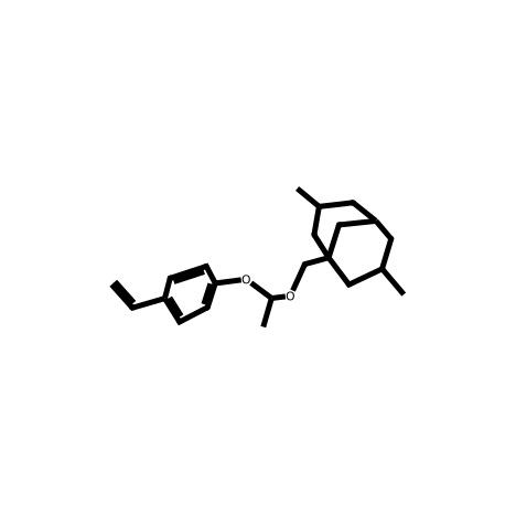 C=Cc1ccc(OC(C)OCC23CC(C)CC(CC(C)C2)C3)cc1